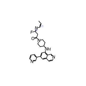 C/C=C\N=C(\F)CC(=O)N1CCC(Nc2cc(-c3cccnc3)cc3ccncc23)CC1